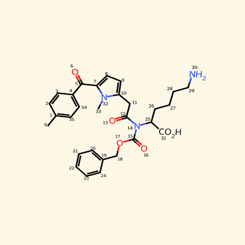 Cc1ccc(C(=O)c2ccc(CC(=O)N(C(=O)OCc3ccccc3)C(CCCCN)C(=O)O)n2C)cc1